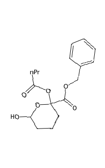 CCCC(=O)OC1(C(=O)OCc2ccccc2)CCCC(O)O1